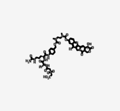 CCc1c2c(nc3ccc(OC(=O)N(C)CCN(C)C(=O)OCC4=CC=C(NC(=O)[C@H](CCCNC(N)=O)NC(=O)[C@@H](NC(=O)CS(=O)(=O)CC(=O)O)C(C)C)CC4)cc13)-c1cc3c(c(=O)n1C2)COC(=O)[C@H]3O